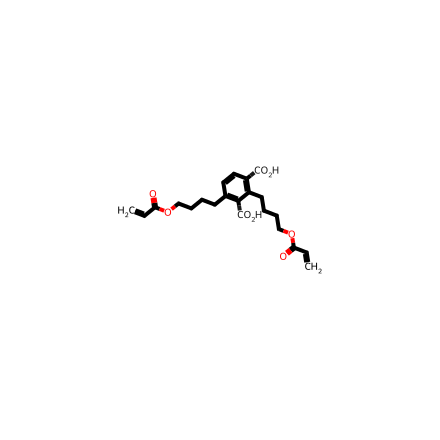 C=CC(=O)OCCCCc1ccc(C(=O)O)c(CCCCOC(=O)C=C)c1C(=O)O